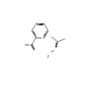 CCC(=O)c1ccccc1.CCOC(=O)ON=C(C)C